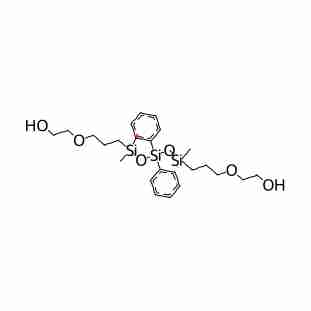 C[Si](C)(CCCOCCO)O[Si](O[Si](C)(C)CCCOCCO)(c1ccccc1)c1ccccc1